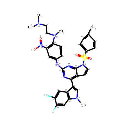 Cc1ccc(S(=O)(=O)n2ccc3c(-c4cn(C)c5cc(F)c(F)cc45)nc(Nc4ccc(N(C)CCN(C)C)c([N+](=O)[O-])c4)nc32)cc1